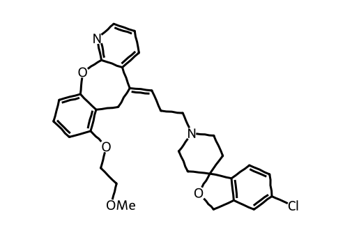 COCCOc1cccc2c1CC(=CCCN1CCC3(CC1)OCc1cc(Cl)ccc13)c1cccnc1O2